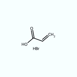 Br.C=CC(=O)O